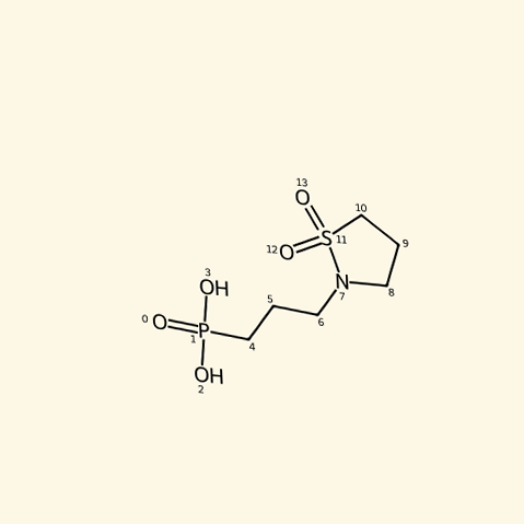 O=P(O)(O)CCCN1CCCS1(=O)=O